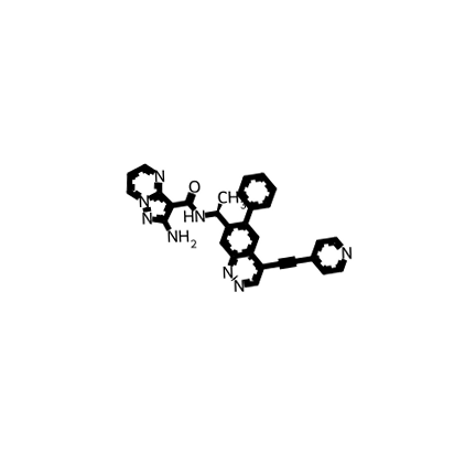 C[C@H](NC(=O)c1c(N)nn2cccnc12)c1cc2nncc(C#Cc3ccncc3)c2cc1-c1ccccc1